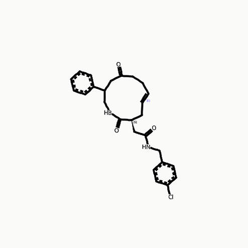 O=C1CC/C=C/C[C@@H](CC(=O)NCc2ccc(Cl)cc2)C(=O)BCC(c2ccccc2)C1